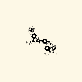 CC(=O)Nc1nc(-c2ccc(CNNC3SCC(=O)N3c3ccccc3C(C)C)cc2)nn1-c1ccc(OC(F)(F)C(F)(F)F)cc1